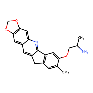 COc1cc2c(cc1OCC(C)N)-c1nc3cc4c(cc3cc1C2)OCO4